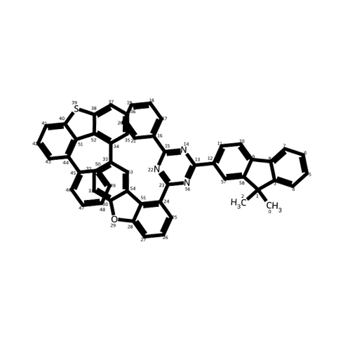 CC1(C)c2ccccc2-c2ccc(-c3nc(-c4ccccc4)nc(-c4cccc5oc6ccc(-c7cccc8sc9cccc(-c%10ccccc%10)c9c78)cc6c45)n3)cc21